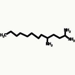 CCCCCCCCC(N)CCC(N)N